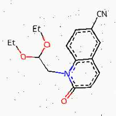 CCOC(Cn1c(=O)ccc2cc(C#N)ccc21)OCC